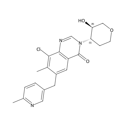 Cc1ccc(Cc2cc3c(=O)n([C@H]4CCOC[C@@H]4O)cnc3c(Cl)c2C)cn1